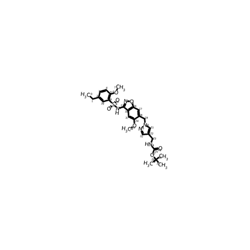 CCc1ccc(OC)c(S(=O)(=O)Nc2noc3cc(Cn4cc(CNC(=O)OC(C)(C)C)cn4)c(OC)cc23)c1